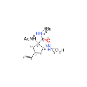 C=CC1CC(NC(=O)O)C(NC(C)=O)(C(=O)NC(C)(C)C)C1